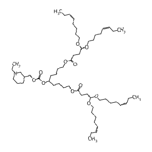 CC/C=C\CCCCOC(CCC(=O)OCCCCC(CCCCOC(=O)CCC(OCCCC/C=C\CC)OCCCC/C=C\CC)OC(=O)OCC1CCCN(CC)C1)OCCCC/C=C\CC